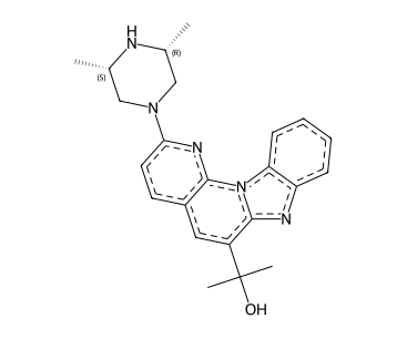 C[C@@H]1CN(c2ccc3cc(C(C)(C)O)c4nc5ccccc5n4c3n2)C[C@H](C)N1